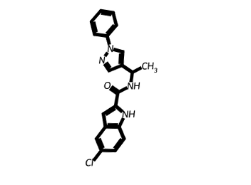 CC(NC(=O)c1cc2cc(Cl)ccc2[nH]1)c1cnn(-c2ccccc2)c1